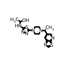 CC(O)Nc1nnc(N2CCN([C@@H](C)c3cnc4scnc4c3)CC2)s1